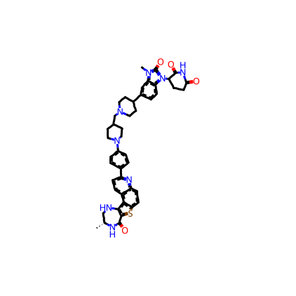 C[C@@H]1CNc2c(sc3ccc4nc(-c5ccc(N6CCC(CN7CCC(c8ccc9c(c8)n(C)c(=O)n9C8CCC(=O)NC8=O)CC7)CC6)cc5)ccc4c23)C(=O)N1